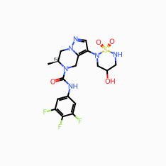 C[C@H]1Cn2ncc(N3CC(O)CNS3(=O)=O)c2CN1C(=O)Nc1cc(F)c(F)c(F)c1